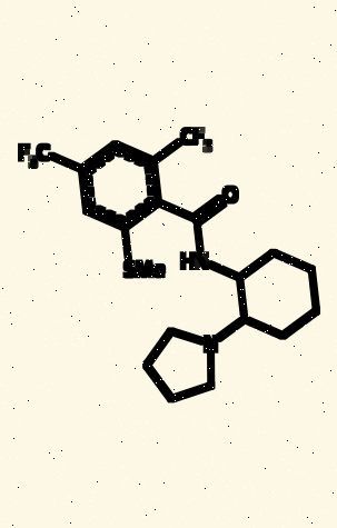 CSc1cc(C(F)(F)F)cc(C(F)(F)F)c1C(=O)NC1CCCCC1N1CCCC1